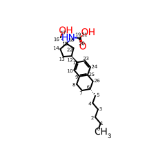 CCCCCC[C@@H]1CCc2cc([C@H]3CC[C@@](CO)(NC(=O)O)C3)ccc2C1